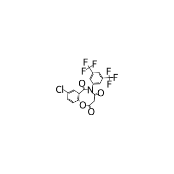 O=C1CC(=O)N(c2cc(C(F)(F)F)cc(C(F)(F)F)c2)C(=O)c2cc(Cl)ccc2O1